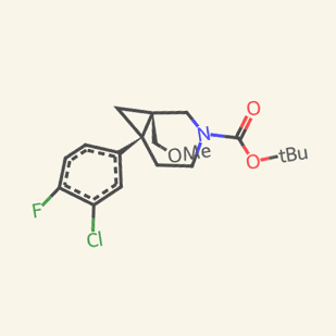 COC[C@@]12CN(C(=O)OC(C)(C)C)CC[C@]1(c1ccc(F)c(Cl)c1)C2